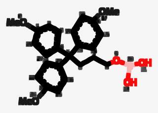 COc1ccc(C(CCCOB(O)O)(c2ccc(OC)cc2)c2ccc(OC)cc2)cc1